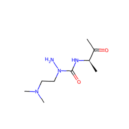 CC(=O)[C@@H](C)NC(=O)N(N)CCN(C)C